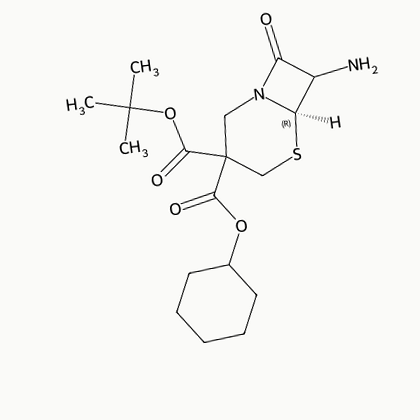 CC(C)(C)OC(=O)C1(C(=O)OC2CCCCC2)CS[C@@H]2C(N)C(=O)N2C1